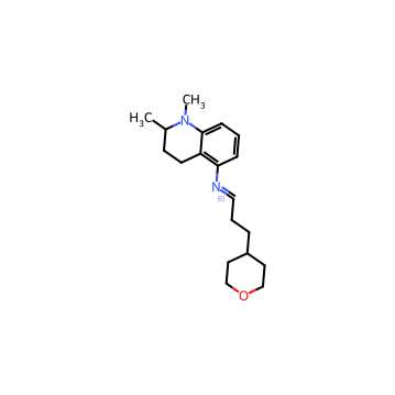 CC1CCc2c(/N=C/CCC3CCOCC3)cccc2N1C